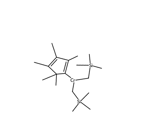 CC1=C(C)C(C)(C)[C]([Cr]([CH2][Si](C)(C)C)[CH2][Si](C)(C)C)=C1C